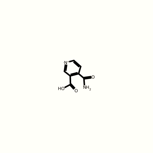 NC(=O)C1=C(C(=O)O)C=[N+]C=C1